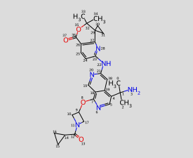 CC(C)(N)c1cnc(OC2CN(C(=O)C3CC3)C2)c2cnc(Nc3ccc4c(n3)C3(CC3)C(C)(C)OC4=O)cc12